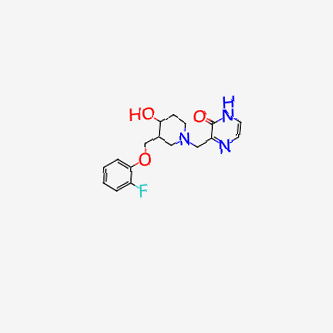 O=c1[nH]ccnc1CN1CCC(O)C(COc2ccccc2F)C1